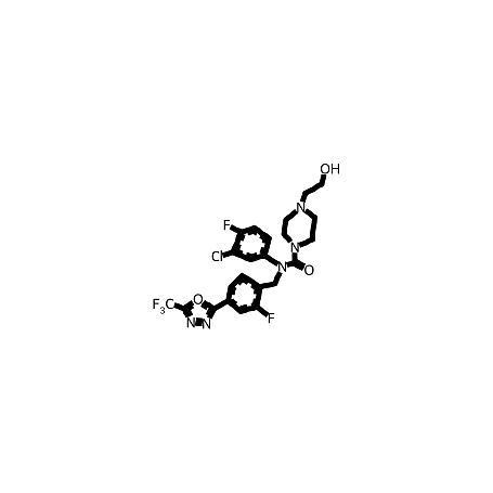 O=C(N1CCN(CCO)CC1)N(Cc1ccc(-c2nnc(C(F)(F)F)o2)cc1F)c1ccc(F)c(Cl)c1